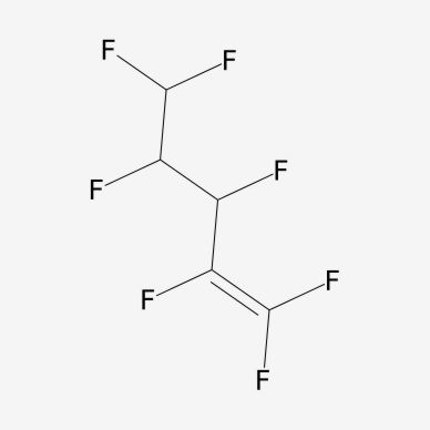 FC(F)=C(F)C(F)C(F)C(F)F